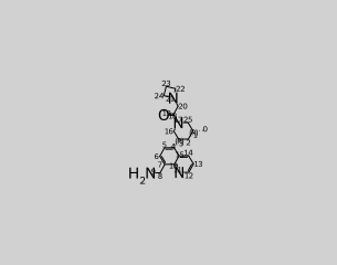 C[C@@H]1C[C@H](c2ccc(CN)c3ncccc23)CN(C(=O)CN2CCC2)C1